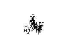 CCSc1nn2c(C(F)(F)F)cc(C(F)(F)F)nc2c1-c1nc2cc(C(F)(F)F)cnc2n1C